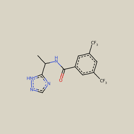 CC(NC(=O)c1cc(C(F)(F)F)cc(C(F)(F)F)c1)c1ncn[nH]1